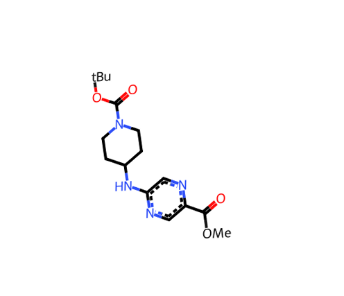 COC(=O)c1cnc(NC2CCN(C(=O)OC(C)(C)C)CC2)cn1